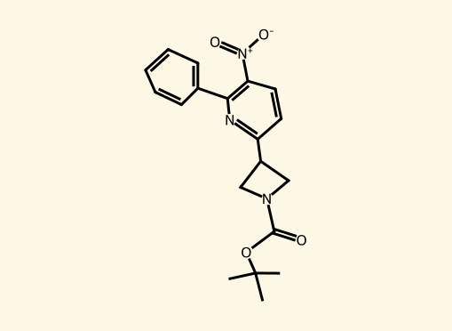 CC(C)(C)OC(=O)N1CC(c2ccc([N+](=O)[O-])c(-c3ccccc3)n2)C1